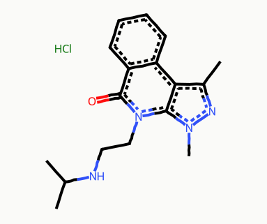 Cc1nn(C)c2c1c1ccccc1c(=O)n2CCNC(C)C.Cl